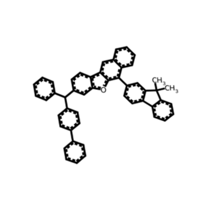 CC1(C)c2ccccc2-c2ccc(-c3c4ccccc4cc4c3oc3cc(C(c5ccccc5)c5ccc(-c6ccccc6)cc5)ccc34)cc21